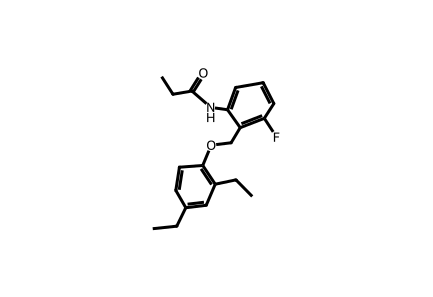 CCC(=O)Nc1cccc(F)c1COc1ccc(CC)cc1CC